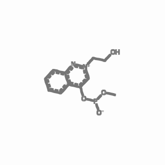 COP([O-])Oc1c[n+](CCO)nc2ccccc12